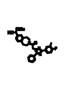 COC(O)c1ccc2c(c1)CCN(C(=O)Cn1nc(-c3ccc(F)c(C)c3)nc1-c1ccccc1)CC2